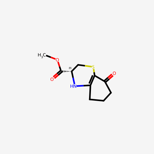 COC(=O)[C@@H]1CSC2=C(CCCC2=O)N1